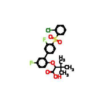 CC(C)(C)C(Oc1ccc(F)cc1-c1ccc(S(=O)(=O)c2ccccc2Cl)c(F)c1)C(=O)O